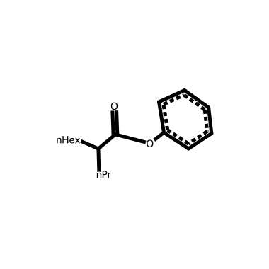 CCCCCCC(CCC)C(=O)Oc1ccccc1